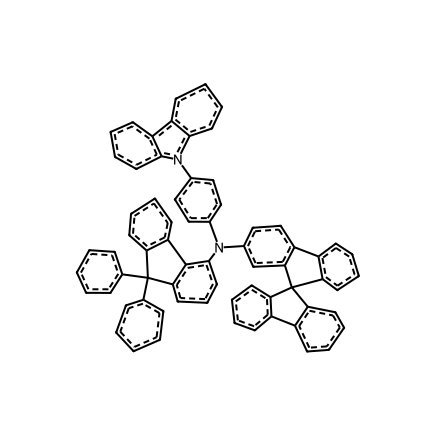 c1ccc(C2(c3ccccc3)c3ccccc3-c3c(N(c4ccc(-n5c6ccccc6c6ccccc65)cc4)c4ccc5c(c4)C4(c6ccccc6-c6ccccc64)c4ccccc4-5)cccc32)cc1